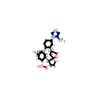 CSc1ccc(-n2cncc2C(F)(F)F)cc1[C@H]1CO[C@]2(CC[C@H](CO)[C@H]2c2ccc(F)cc2)C1